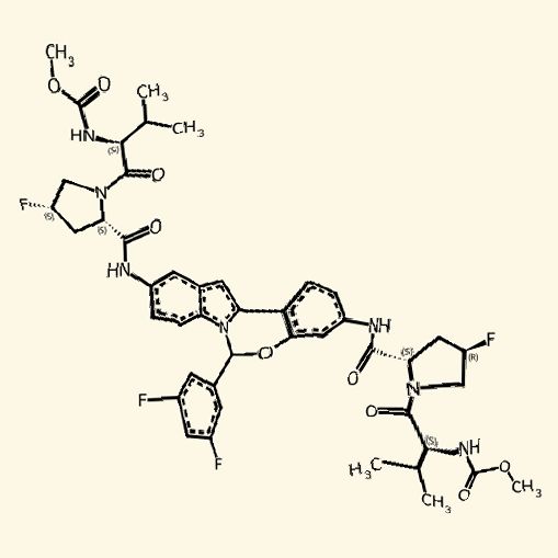 COC(=O)N[C@H](C(=O)N1C[C@H](F)C[C@H]1C(=O)Nc1ccc2c(c1)OC(c1cc(F)cc(F)c1)n1c-2cc2cc(NC(=O)[C@@H]3C[C@H](F)CN3C(=O)[C@@H](NC(=O)OC)C(C)C)ccc21)C(C)C